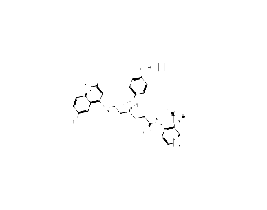 COc1ccc(S(=O)(=O)N(CCNc2cc(C)nc3ccc(Cl)cc23)CCC(=O)Nc2ccncc2[N+](=O)[O-])cc1